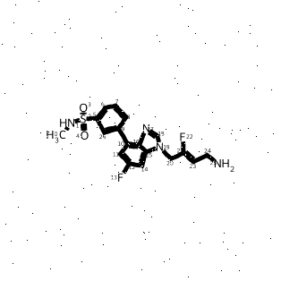 CNS(=O)(=O)c1cccc(-c2cc(F)cc3c2ncn3CC(F)=CCN)c1